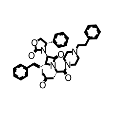 O=C(I)C[C@@H](C(=O)N1CCN(CCc2ccccc2)CC1)N1C(=O)[C@@H](N2C(=O)OC[C@@H]2c2ccccc2)[C@H]1/C=C/c1ccccc1